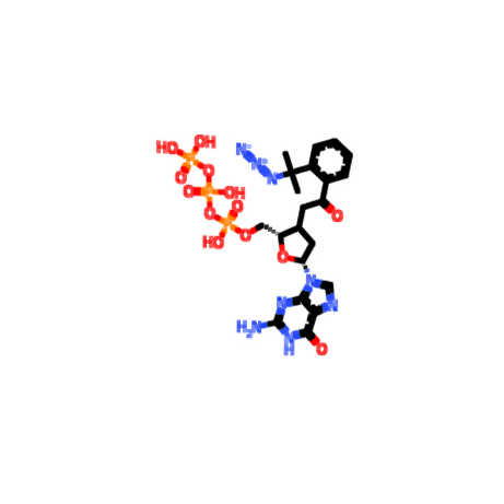 CC(C)(N=[N+]=[N-])c1ccccc1C(=O)CC1C[C@H](n2cnc3c(=O)[nH]c(N)nc32)O[C@@H]1COP(=O)(O)OP(=O)(O)OP(=O)(O)O